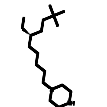 CC[C@@H](CCCCCN1CCNCC1)CCC(C)(C)C